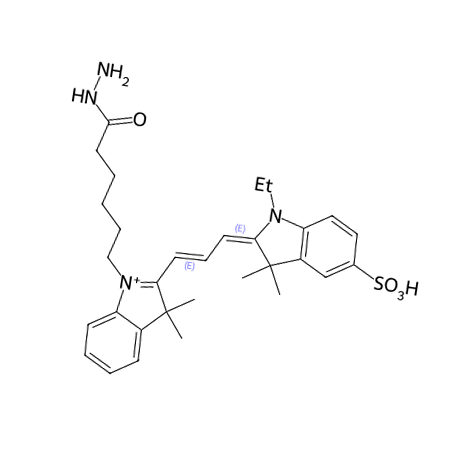 CCN1/C(=C/C=C/C2=[N+](CCCCCC(=O)NN)c3ccccc3C2(C)C)C(C)(C)c2cc(S(=O)(=O)O)ccc21